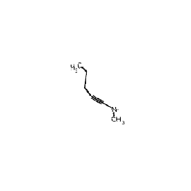 CCCC#C[N]C